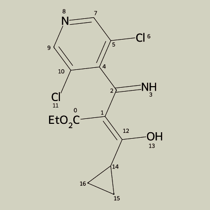 CCOC(=O)/C(C(=N)c1c(Cl)cncc1Cl)=C(/O)C1CC1